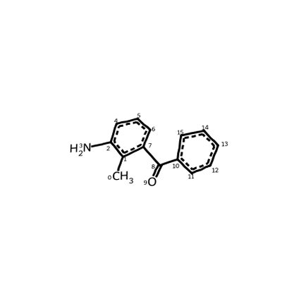 Cc1c(N)cccc1C(=O)c1ccccc1